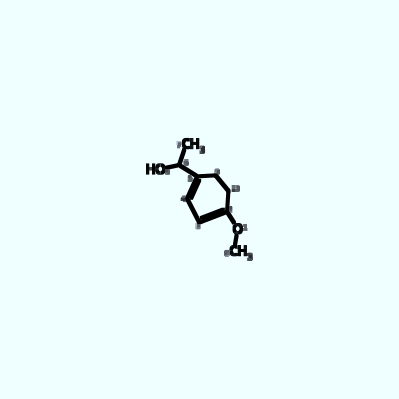 COC1=CC=C(C(C)O)CC1